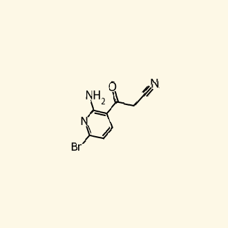 N#CCC(=O)c1ccc(Br)nc1N